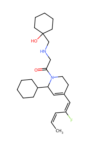 C/C=C\C(F)=C/C1=CC(C2CCCCC2)N(C(=O)CNCC2(O)CCCCC2)CC1